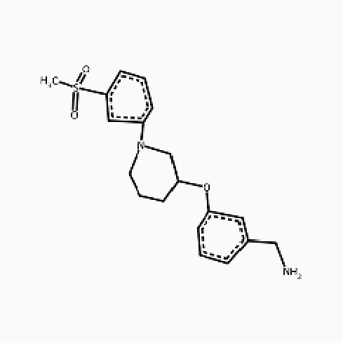 CS(=O)(=O)c1cccc(N2CCCC(Oc3cccc(CN)c3)C2)c1